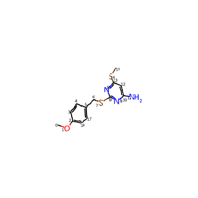 COc1ccc(CSc2nc(N)cc(SC)n2)cc1